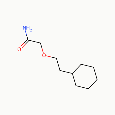 NC(=O)COCCC1CCCCC1